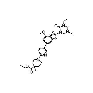 CCOC(=O)C1(C)CCN(c2ncc(-c3cc(OC)c4sc(N5CN(C)CN(CC)C5=O)nc4c3)cn2)CC1